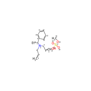 C=CCN(CC=C)C(CC)c1ccccc1.COS(=O)(=O)O